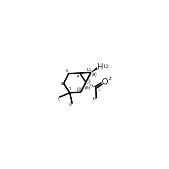 CC(=O)[C@@]12C3CCC(C)(C)C1[C@@H]32